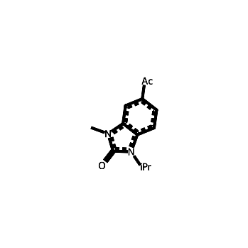 CC(=O)c1ccc2c(c1)n(C)c(=O)n2C(C)C